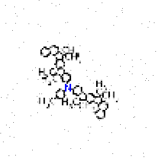 Cc1ccc(N(c2ccc3c(c2)C(C)(C)c2cc4c(cc2-3)C(C)(C)c2ccc3ccccc3c2-4)c2ccc3c(c2)C(C)(C)c2cc4c(cc2-3)C(C)(C)c2ccc3ccccc3c2-4)cc1